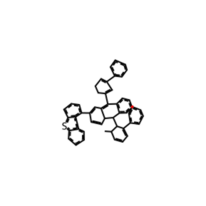 CC1C=CC=C(c2ccccc2)C1C1c2ccccc2C(C2=CC(c3ccccc3)=CCC2)=C2C=C(c3cccc4sc5ccccc5c34)C=CC21